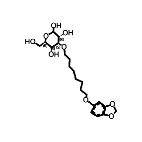 OC[C@H]1OC(O)[C@H](O)[C@@H](OCCCCCCCCOc2ccc3c(c2)OCO3)[C@@H]1O